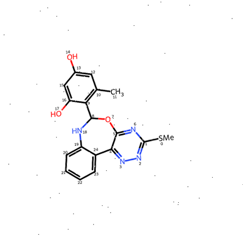 CSc1nnc2c(n1)OC(c1c(C)cc(O)cc1O)Nc1ccccc1-2